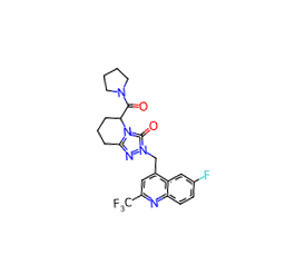 O=C(C1CCCc2nn(Cc3cc(C(F)(F)F)nc4ccc(F)cc34)c(=O)n21)N1CCCC1